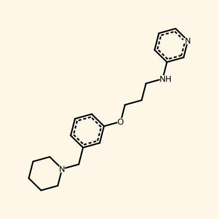 c1cncc(NCCCOc2cccc(CN3CCCCC3)c2)c1